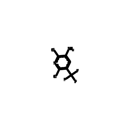 Nc1cc(C(F)(F)F)c(Cl)nc1Cl